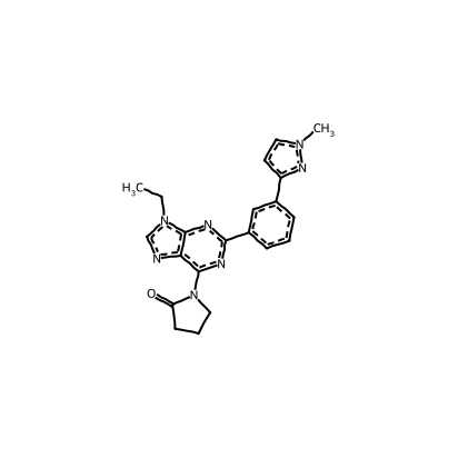 CCn1cnc2c(N3CCCC3=O)nc(-c3cccc(-c4ccn(C)n4)c3)nc21